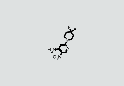 Nc1cc(N2CCC(F)(F)CC2)ncc1[N+](=O)[O-]